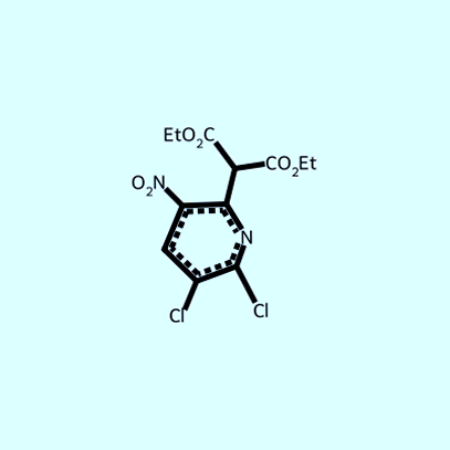 CCOC(=O)C(C(=O)OCC)c1nc(Cl)c(Cl)cc1[N+](=O)[O-]